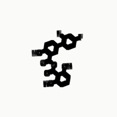 O=C(OC(=O)c1c(O)cccc1O)c1cc(-c2ccc(F)cc2F)ccc1O